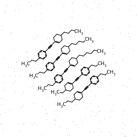 CCCCC1CC=C(C#Cc2ccc(CCC)cc2)CC1.CCCCCC1CC=C(C#Cc2ccc(CCC)cc2)CC1.CCCCCCC1CC=C(C#Cc2ccc(CCC)cc2)CC1.CCCc1ccc(C#CC2=CCC(CC)CC2)cc1.CCCc1ccc(C#CC2=CCC(CCC)CC2)cc1